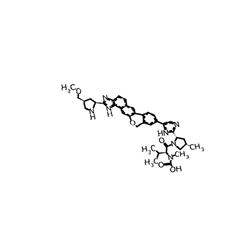 COC[C@@H]1CN[C@H](c2nc3ccc4cc5c(cc4c3[nH]2)OCc2cc(-c3cnc([C@@H]4C[C@H](C)CN4C(=O)[C@H](C(C)C)N(C)C(=O)O)[nH]3)ccc2-5)C1